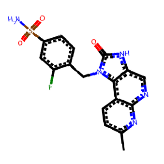 Cc1ccc2c(ncc3[nH]c(=O)n(Cc4ccc(S(N)(=O)=O)cc4F)c32)n1